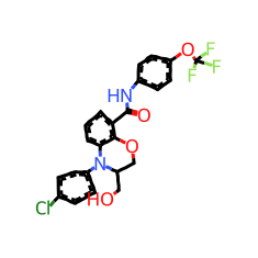 O=C(Nc1ccc(OC(F)(F)F)cc1)c1cccc2c1OCC(CO)N2c1ccc(Cl)cc1